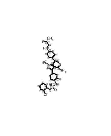 CC(C)n1nc(-c2ccc(NS(=O)(=O)Cc3ccccc3Cl)c(F)c2)c2c(N)ncc(C3=CC[C@@H](NC[C@@H](C)F)CC3)c21